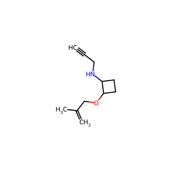 C#CCNC1CCC1OCC(=C)C